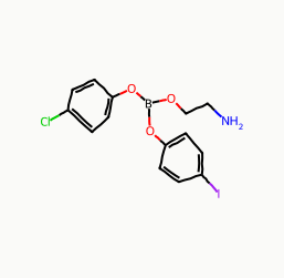 NCCOB(Oc1ccc(Cl)cc1)Oc1ccc(I)cc1